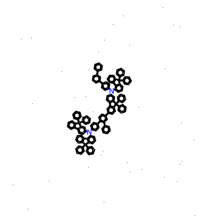 c1ccc(-c2cccc(-c3ccc(N(c4ccc5c(c4)C(c4ccccc4)(c4ccccc4)c4ccc(-c6ccc(-c7ccc(N(c8ccc9c(c8)C(c8ccccc8)(c8ccccc8)c8ccccc8-9)c8cccc9c8-c8ccccc8C9(c8ccccc8)c8ccccc8)cc7)c(-c7ccccc7)c6)cc4-5)c4cccc5c4-c4ccccc4C5(c4ccccc4)c4ccccc4)cc3)c2)cc1